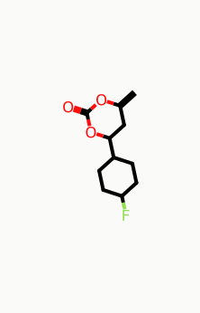 C=C1CC(C2CCC(F)CC2)OC(=O)O1